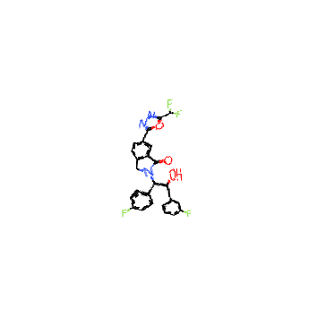 O=C1c2cc(-c3nnc(C(F)F)o3)ccc2CN1[C@H](c1ccc(F)cc1)[C@@H](O)c1cccc(F)c1